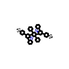 C[Si](C)(C)c1ccc(-c2cc3c4ccccc4n4c5c(-c6ccccc6)c6c7cc(-c8ccc([Si](C)(C)C)cc8)cc8c9ccccc9n(c6c(-c6ccccc6)c5c(c2)c34)c87)cc1